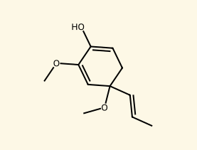 CC=CC1(OC)C=C(OC)C(O)=CC1